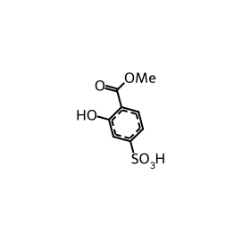 COC(=O)c1ccc(S(=O)(=O)O)cc1O